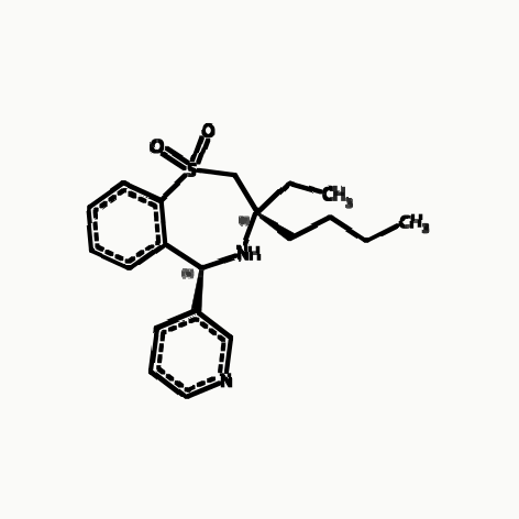 CCCC[C@]1(CC)CS(=O)(=O)c2ccccc2[C@H](c2cccnc2)N1